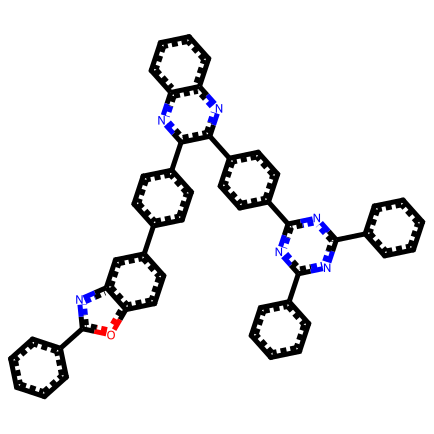 c1ccc(-c2nc(-c3ccccc3)nc(-c3ccc(-c4nc5ccccc5nc4-c4ccc(-c5ccc6oc(-c7ccccc7)nc6c5)cc4)cc3)n2)cc1